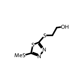 CSc1nnc(SCCO)s1